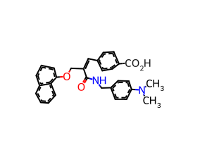 CN(C)c1ccc(CNC(=O)C(=Cc2ccc(C(=O)O)cc2)COc2cccc3ccccc23)cc1